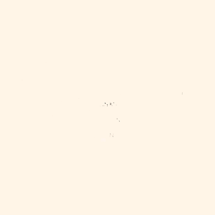 CCCc1c(C)c2c3ccccc3n(/N=c3/cccc4oc5c(ccc6ccccc65)c(NC)c3-4)c2c2ccccc12